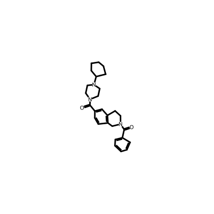 O=C(c1ccc2c(c1)CCN(C(=O)c1ccccc1)C2)N1CCN(C2CCCCC2)CC1